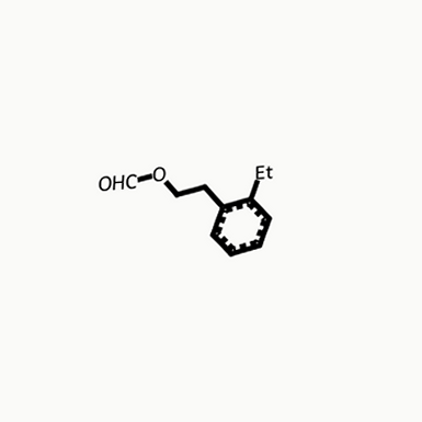 CCc1ccccc1CCOC=O